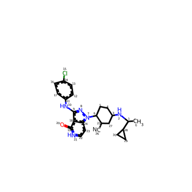 CC(NC1CCC(n2nc(Nc3ccc(Cl)cc3)c3c(=O)[nH]ccc32)C(C#N)C1)C1CC1